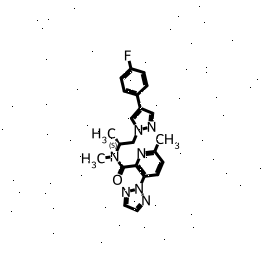 Cc1ccc(-n2nccn2)c(C(=O)N(C)[C@@H](C)Cn2cc(-c3ccc(F)cc3)cn2)n1